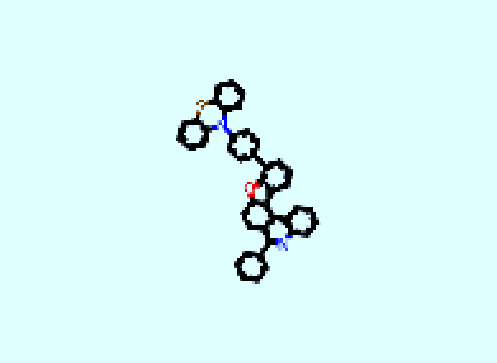 c1ccc(-c2nc3ccccc3c3c2ccc2oc4c(-c5ccc(N6c7ccccc7Sc7ccccc76)cc5)cccc4c23)cc1